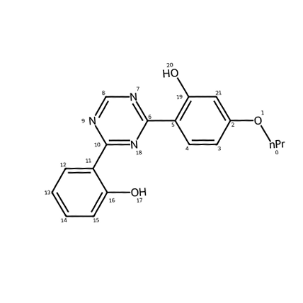 CCCOc1ccc(-c2ncnc(-c3ccccc3O)n2)c(O)c1